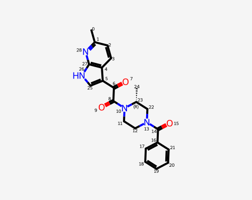 Cc1ccc2c(C(=O)C(=O)N3CCN(C(=O)c4ccccc4)C[C@H]3C)c[nH]c2n1